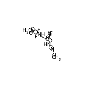 COCCN1CCC(Nc2cccc3c2cc(C#CCNc2c(F)cc(S(C)(=O)=O)cc2F)n3CC(F)(F)F)CC1